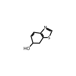 OC1C=Cc2ncsc2C1